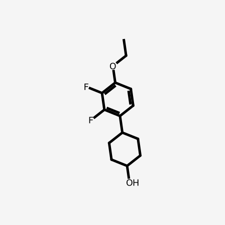 CCOc1ccc(C2CCC(O)CC2)c(F)c1F